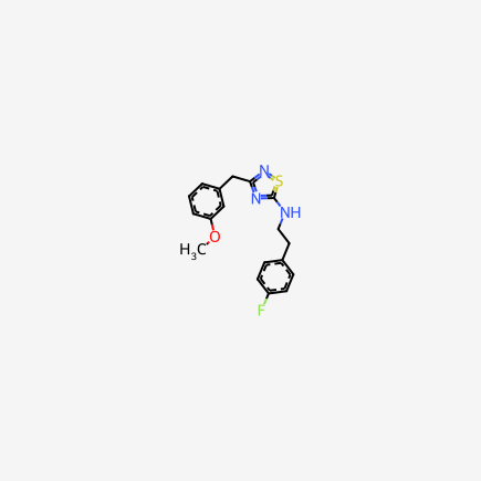 COc1cccc(Cc2nsc(NCCc3ccc(F)cc3)n2)c1